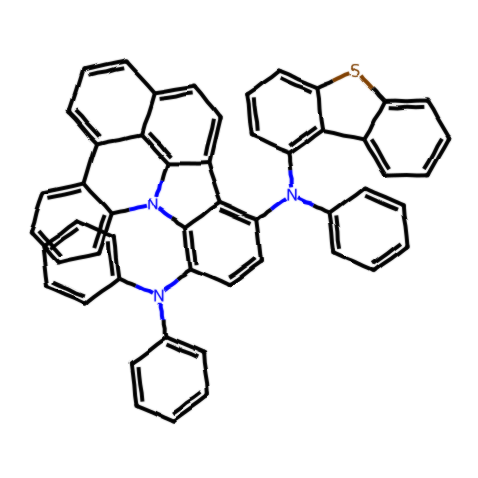 c1ccc(N(c2cccc3sc4ccccc4c23)c2ccc(N(c3ccccc3)c3ccccc3)c3c2c2ccc4cccc5c6ccccc6n3c2c45)cc1